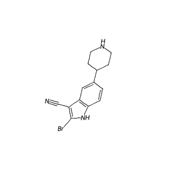 N#Cc1c(Br)[nH]c2ccc(C3CCNCC3)cc12